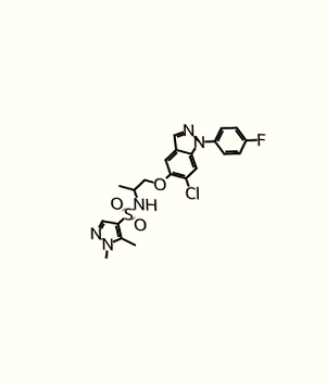 Cc1c(S(=O)(=O)NC(C)COc2cc3cnn(-c4ccc(F)cc4)c3cc2Cl)cnn1C